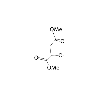 COC(=O)CC([O])C(=O)OC